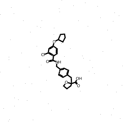 O=C(NCc1ccc(CC2(C(=O)O)CCCO2)cc1)c1ccc(OC2CCCC2)cc1Cl